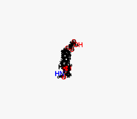 CC(=O)NCCN(CC1CCC1)CC1(O)C2=C(C(C)C)C(=O)C[C@H]1CC[C@]1(C)[C@@H]2CC[C@@H]2[C@@]3(C)CC[C@H](OC(=O)CC(C)(C)C(=O)O)C(C)(C)[C@@H]3CC[C@]21C